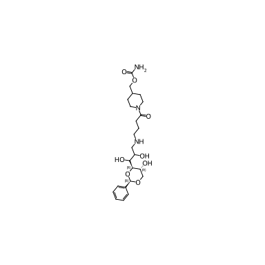 NC(=O)OCC1CCN(C(=O)CCCNCC(O)C(O)[C@@H]2O[C@H](c3ccccc3)OC[C@H]2O)CC1